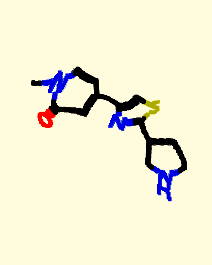 Cn1ccc(-c2csc(C3CCNC3)n2)cc1=O